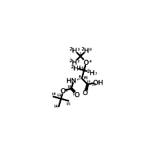 [2H]C([2H])([2H])OC([2H])([2H])[C@@H](NC(=O)OC(C)(C)C)C(=O)O